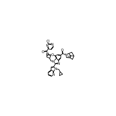 COc1cc(C(=O)N2CC3CC4CC2[C@H]43)cc2nc(-c3cc4cccnc4n3CC3CC3)n(CC3CN(C(=O)c4ccnc(Cl)n4)C3)c12